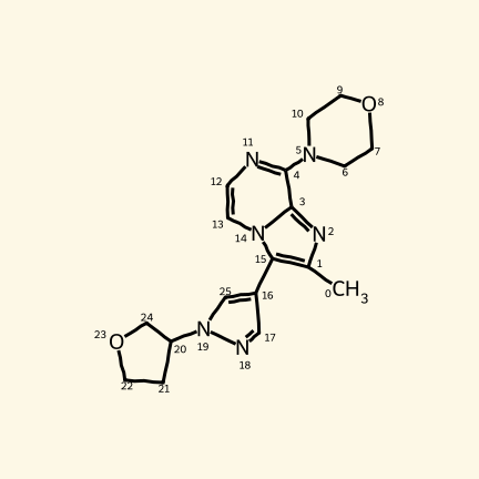 Cc1nc2c(N3CCOCC3)nccn2c1-c1cnn(C2CCOC2)c1